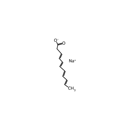 CC=CC=CC=CC=CCC(=O)[O-].[Na+]